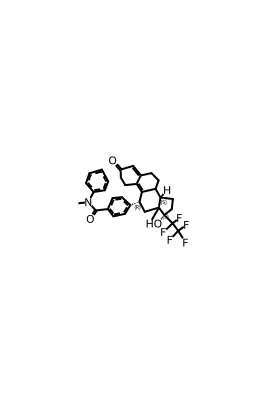 CN(C(=O)c1ccc([C@H]2CC3(C)[C@@H](CC[C@@]3(O)C(F)(F)C(F)(F)F)C3CCC4=CC(=O)CCC4=C32)cc1)c1ccccc1